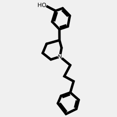 Oc1cccc(C2CCCN(CCCc3ccccc3)C2)c1